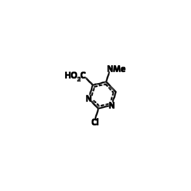 CNc1cnc(Cl)nc1C(=O)O